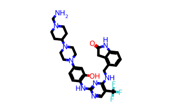 NCN1CCC(N2CCN(c3ccc(Nc4ncc(C(F)(F)F)c(NCc5cccc6c5CC(=O)N6)n4)c(O)c3)CC2)CC1